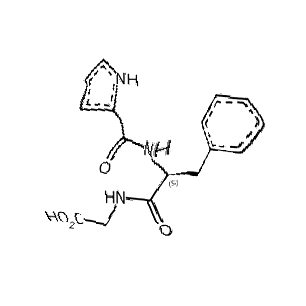 O=C(O)CNC(=O)[C@H](Cc1ccccc1)NC(=O)c1ccc[nH]1